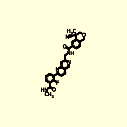 CNC(=O)c1cccc(-c2ccc3cnc(CNC(=O)c4ccc5c(c4)[C@](C)(C#N)COC5)cc3n2)c1F